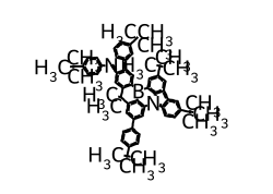 CC(C)(C)c1ccc(-c2cc3c4c(c2)C(C)(C)c2cc5c(cc2B4c2cc(C(C)(C)C)cc4c6cc(C(C)(C)C)ccc6n-3c24)c2cc(C(C)(C)C)ccc2n5-c2ccc(C(C)(C)C)cc2)cc1